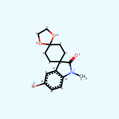 CN1C(=O)C2(CCC3(CC2)OCCO3)c2cc(Br)ccc21